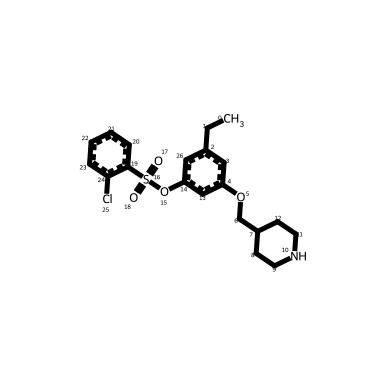 CCc1cc(OCC2CCNCC2)cc(OS(=O)(=O)c2ccccc2Cl)c1